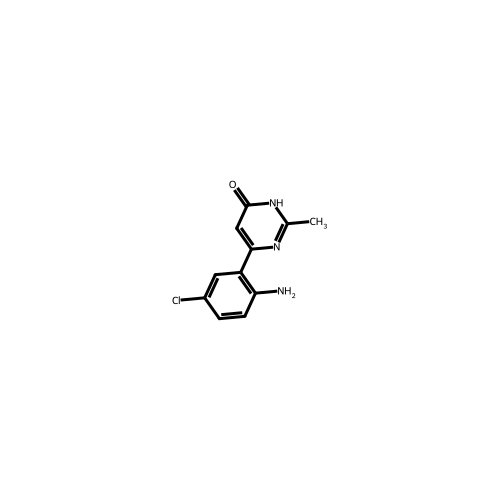 Cc1nc(-c2cc(Cl)ccc2N)cc(=O)[nH]1